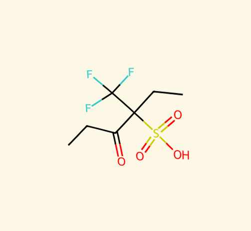 CCC(=O)C(CC)(C(F)(F)F)S(=O)(=O)O